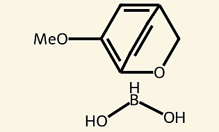 COc1cc2ccc1OC2.OBO